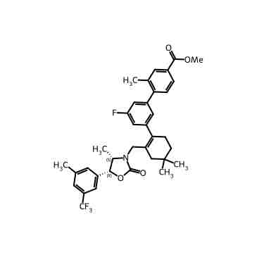 COC(=O)c1ccc(-c2cc(F)cc(C3=C(CN4C(=O)O[C@H](c5cc(C)cc(C(F)(F)F)c5)[C@@H]4C)CC(C)(C)CC3)c2)c(C)c1